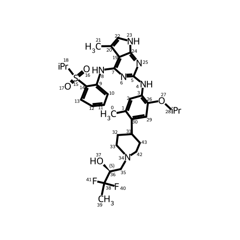 Cc1cc(Nc2nc(Nc3ccccc3S(=O)(=O)C(C)C)c3c(C)c[nH]c3n2)c(OC(C)C)cc1C1CCN(C[C@H](O)C(C)(F)F)CC1